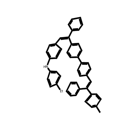 CCc1ccc(Nc2ccc(C=C(c3ccccc3)c3ccc(-c4ccc(C=C(c5ccccc5)c5ccc(C)cc5)cc4)cc3)cc2)cc1